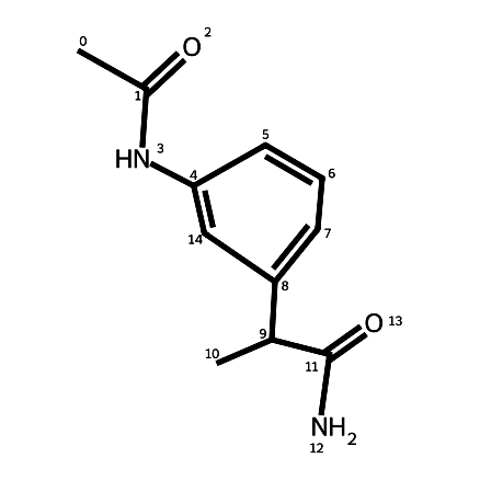 CC(=O)Nc1cccc(C(C)C(N)=O)c1